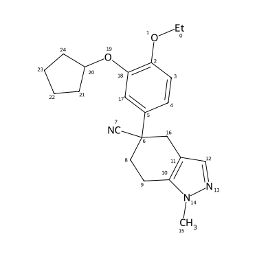 CCOc1ccc(C2(C#N)CCc3c(cnn3C)C2)cc1OC1CCCC1